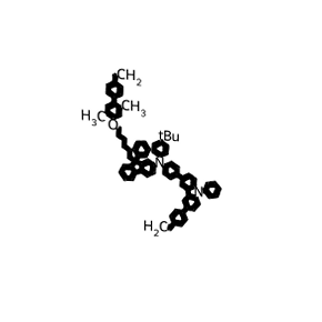 C=Cc1ccc(-c2ccc3c(c2)c2cc(-c4ccc(N(c5ccc(C(C)(C)C)cc5)c5ccc6c(c5)C(CCCCCCOc5cc(C)c(-c7ccc(C=C)cc7)cc5C)(c5ccccc5)c5ccccc5-6)cc4)ccc2n3-c2ccccc2)cc1